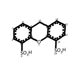 O=S(=O)(O)c1cccc2c1Oc1c(cccc1S(=O)(=O)O)C2